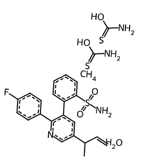 C.C=CC(C)c1cnc(-c2ccc(F)cc2)c(-c2ccccc2S(N)(=O)=O)c1.NC(O)=S.NC(O)=S.O